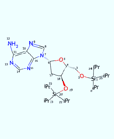 CC(C)[Si](OC[C@H]1O[C@@H](n2cnc3c(N)ncnc32)C[C@@H]1O[Si](C(C)C)(C(C)C)C(C)C)(C(C)C)C(C)C